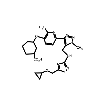 Cc1nc(-c2nnn(C)c2CNc2noc(COC3CC3)n2)ccc1OC1CCCC(C(=O)O)C1